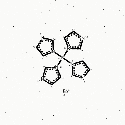 [Rb+].c1cn([B-](n2ccnc2)(n2ccnc2)n2ccnc2)cn1